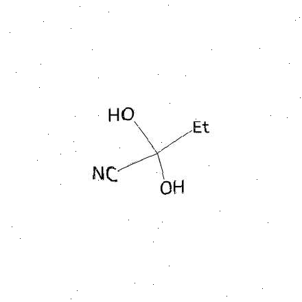 CCC(O)(O)C#N